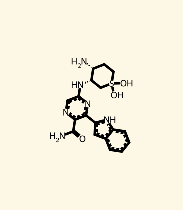 NC(=O)c1ncc(N[C@H]2CS(O)(O)CC[C@H]2N)nc1-c1cc2ccccc2[nH]1